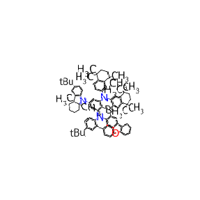 CC(C)(C)c1ccc(N2c3cc4oc5ccccc5c4cc3B3c4cc5c(cc4N(c4ccc6c(c4)C(C)(C)CCC6(C)C)c4cc(N6c7ccc(C(C)(C)C)cc7C7(C)CCCCC67C)cc2c43)C(C)(C)CCC5(C)C)c(-c2ccccc2)c1